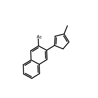 CC(=O)c1cc2ccccc2cc1C1=CC(C)=CC1